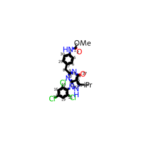 COC(=O)Nc1ccc(Cc2nc3n(-c4c(Cl)cc(Cl)cc4Cl)[nH]c(C(C)C)c-3c(=O)n2)cc1